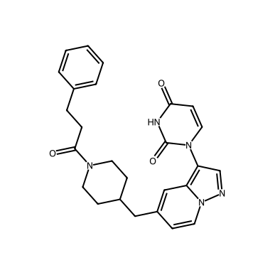 O=C(CCc1ccccc1)N1CCC(Cc2ccn3ncc(-n4ccc(=O)[nH]c4=O)c3c2)CC1